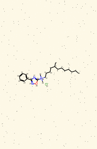 CCCCCCCC(C)CCCC[N+](C)(C)c1nc(-c2ccccc2)no1.[Cl-]